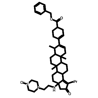 CC(C)C1=C2C3CCC4C5(C)CC=C(C6=CCC(C(=O)OCc7ccccc7)CC6)C(C)C5CCC4(C)C3CCC2(NCCN2CC[S+]([O-])CC2)CC1=O